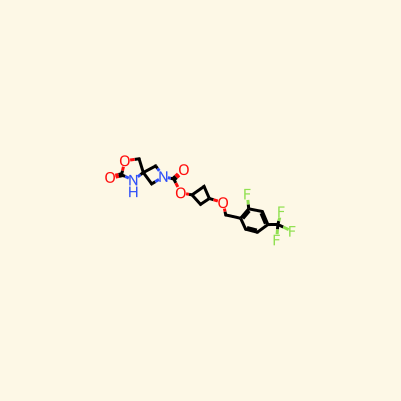 O=C1NC2(CO1)CN(C(=O)OC1CC(OCc3ccc(C(F)(F)F)cc3F)C1)C2